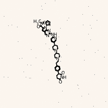 CN(C)C(=O)c1cc2cnc(Nc3ccc(C4CCN(C5CCN(CCc6ccc(C7CCC(=O)NC7=O)cc6)CC5)CC4)cn3)nc2n1C1CCCC1